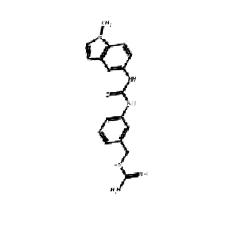 Cn1ccc2cc(NC(=O)Nc3cccc(CNC(=N)N)c3)ccc21